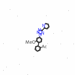 COc1cc(-n2nnc(-c3ccccn3)n2)ccc1-c1ccccc1C(C)=O